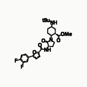 COC(=O)[C@@H]1C[C@H](NC(C)(C)C)CC[C@@H]1N1CCC(NC(=O)c2ccc(-c3ccc(F)c(F)c3)o2)C1=O